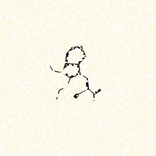 CCOc1c(/C=C(\C#N)C(N)=O)c2ccccc2n1CC